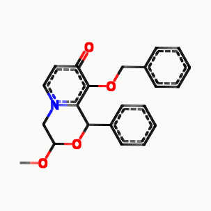 COC1Cn2ccc(=O)c(OCc3ccccc3)c2C(c2ccccc2)O1